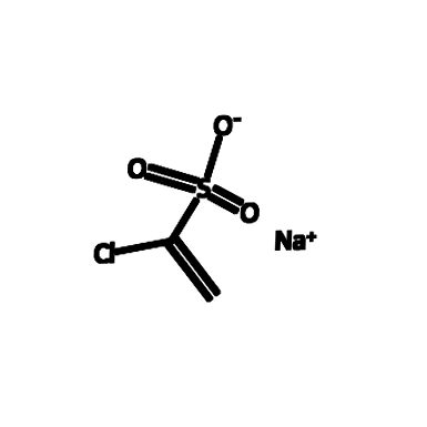 C=C(Cl)S(=O)(=O)[O-].[Na+]